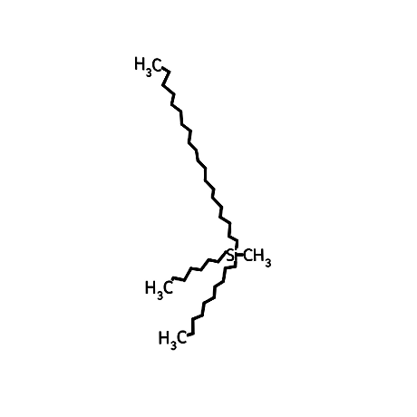 CCCCCCCCCCCCCCCCCCCC[Si](C)(CCCCCCCC)CCCCCCCCCC